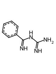 N=C(N)NC(=N)c1ccccc1